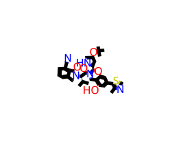 Cc1ncsc1-c1ccc(CN(C(=O)[C@@H]2C[C@@H](OC(C)(C)C)CN2)C(=O)[C@H](C(C)C)N2Cc3cccc(C#N)c3C2=O)c(O)c1